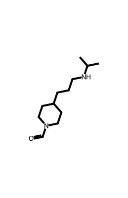 CC(C)NCCCC1CCN(C=O)CC1